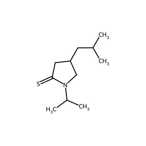 CC(C)CC1CC(=S)N(C(C)C)C1